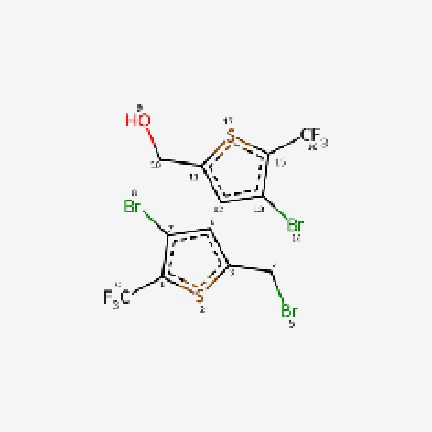 FC(F)(F)c1sc(CBr)cc1Br.OCc1cc(Br)c(C(F)(F)F)s1